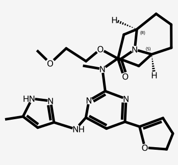 COCCOC(=O)N1[C@@H]2CCC[C@H]1CC(N(C)c1nc(Nc3cc(C)[nH]n3)cc(C3=CCCO3)n1)C2